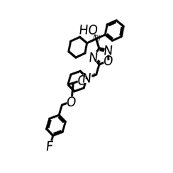 O[C@](c1ccccc1)(c1noc(C[N+]23CCC(CC2)C(OCc2ccc(F)cc2)C3)n1)C1CCCCC1